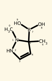 CN1NC=CC1(C)B(O)O